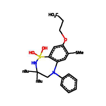 CCCCC1(CCCC)CN(c2ccccc2)c2cc(SC)c(OCCC(=O)O)cc2S(O)(O)N1